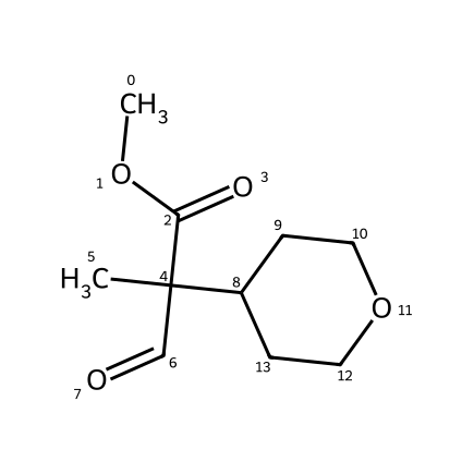 COC(=O)C(C)(C=O)C1CCOCC1